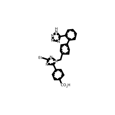 CCc1nc(-c2ccc(C(=O)O)cc2)n(Cc2ccc(-c3ccccc3-c3nnn[nH]3)cc2)n1